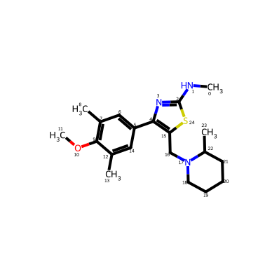 CNc1nc(-c2cc(C)c(OC)c(C)c2)c(CN2CCCCC2C)s1